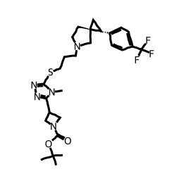 Cn1c(SCCCN2CC[C@]3(C[C@@H]3c3ccc(C(F)(F)F)cc3)C2)nnc1C1CN(C(=O)OC(C)(C)C)C1